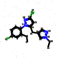 CCc1cc(F)ccc1-n1nc(Br)cc1Cc1cnn(CC)c1